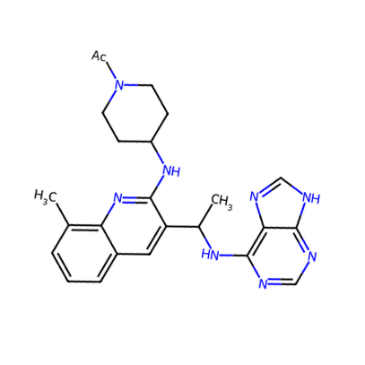 CC(=O)N1CCC(Nc2nc3c(C)cccc3cc2C(C)Nc2ncnc3[nH]cnc23)CC1